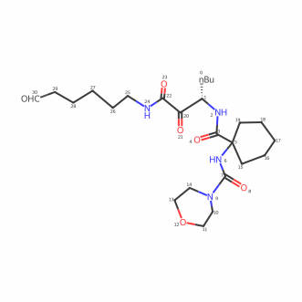 CCCC[C@H](NC(=O)C1(NC(=O)N2CCOCC2)CCCCC1)C(=O)C(=O)NCCCCCC=O